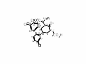 CCC[C@H](C(=O)OCC)N1C(=O)[C@H](CC(=O)O)C[C@@H](c2cccc(Cl)c2)[C@@H]1c1ccc(Cl)cc1